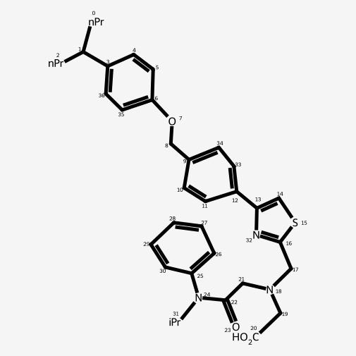 CCCC(CCC)c1ccc(OCc2ccc(-c3csc(CN(CC(=O)O)CC(=O)N(c4ccccc4)C(C)C)n3)cc2)cc1